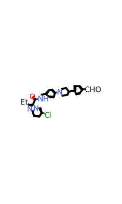 CCc1nc2ccc(Cl)cn2c1C(=O)NCc1ccc(N2CCC(c3ccc(C=O)cc3)CC2)cc1